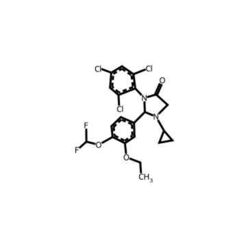 CCOc1cc(C2N(c3c(Cl)cc(Cl)cc3Cl)C(=O)CN2C2CC2)ccc1OC(F)F